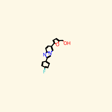 OCc1ccc(-c2ccc3nc(-c4ccc(F)cc4)cn3c2)o1